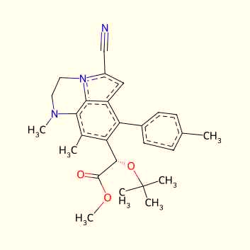 COC(=O)[C@@H](OC(C)(C)C)c1c(C)c2c3c(cc(C#N)n3CCN2C)c1-c1ccc(C)cc1